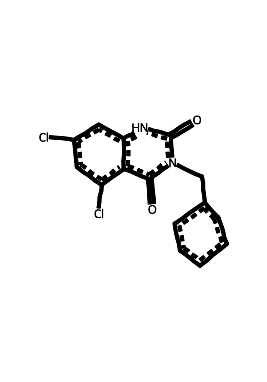 O=c1[nH]c2cc(Cl)cc(Cl)c2c(=O)n1Cc1ccccc1